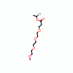 COCCOCCOCCOCCC(=O)OC(C)Cl